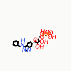 O=P(O)(O)CP(=O)(O)OC[C@H]1O[C@@H](c2ccc3c(NCc4ccccc4)ncnc3c2)[C@H](O)[C@@H]1O